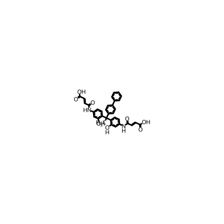 CC(c1ccc(-c2ccccc2)cc1)(c1ccc(NC(=O)/C=C/C(=O)O)cc1O)c1ccc(NC(=O)/C=C/C(=O)O)cc1O